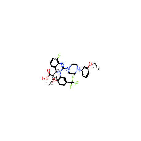 COc1cccc(N2CCN(C3=Nc4c(F)cccc4[C@H](C(C)C(=O)O)N3c3cc(C(F)(F)F)ccc3OC)CC2)c1